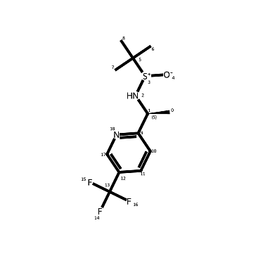 C[C@H](N[S+]([O-])C(C)(C)C)c1ccc(C(F)(F)F)cn1